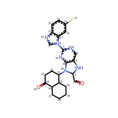 O=CC1Nc2cnc(-n3cnc4ccc(F)cc43)nc2N1C1CCC(=O)C2CCCCC21